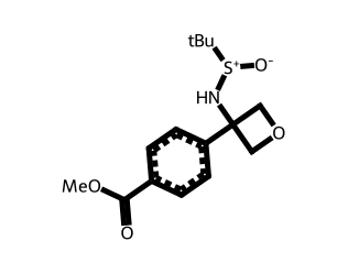 COC(=O)c1ccc(C2(N[S+]([O-])C(C)(C)C)COC2)cc1